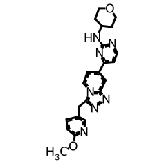 COc1ccc(Cc2nnc3cc(-c4ccnc(NC5CCOCC5)n4)ccn23)cn1